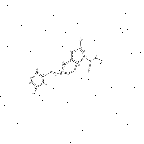 COC(=O)c1cc(Br)cc2nc(C=Cc3nccc(C)n3)ccc12